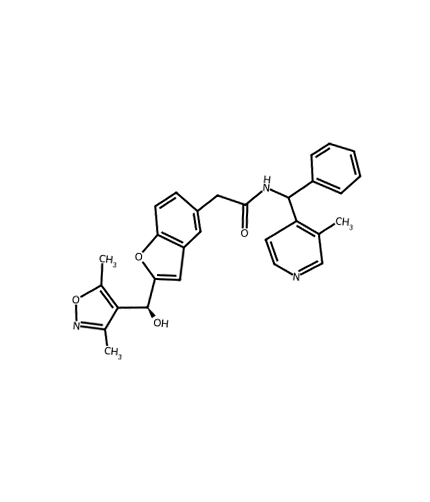 Cc1cnccc1C(NC(=O)Cc1ccc2oc([C@@H](O)c3c(C)noc3C)cc2c1)c1ccccc1